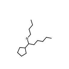 CCCCCC([N]CCCC)C1CCCC1